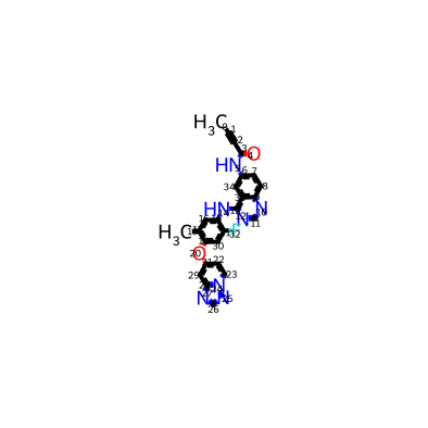 CC#CC(=O)Nc1ccc2ncnc(Nc3cc(C)c(Oc4ccn5ncnc5c4)cc3F)c2c1